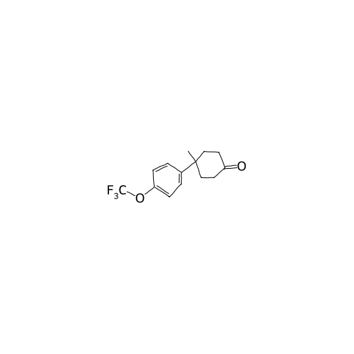 CC1(c2ccc(OC(F)(F)F)cc2)CCC(=O)CC1